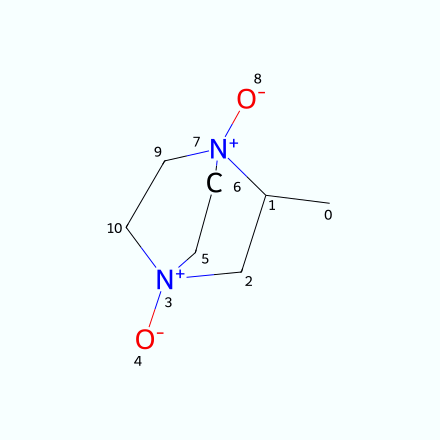 CC1C[N+]2([O-])CC[N+]1([O-])CC2